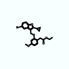 CCOC(=O)Cc1ccc(OC)cc1OCc1c(C2CC2)oc2ccc(Br)cc12